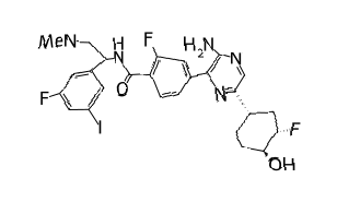 CNCC(NC(=O)c1ccc(-c2nc([C@H]3CC[C@H](O)[C@@H](F)C3)cnc2N)cc1F)c1cc(F)cc(I)c1